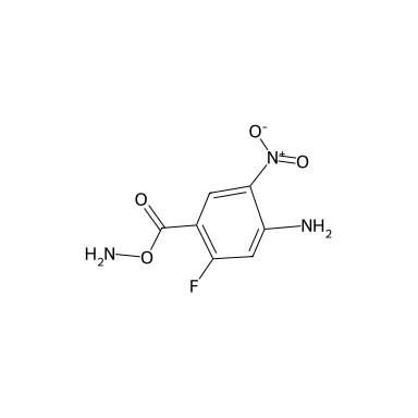 NOC(=O)c1cc([N+](=O)[O-])c(N)cc1F